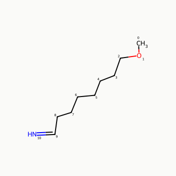 COCCCCCCCC=N